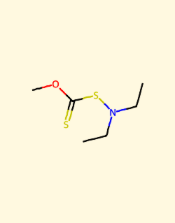 CCN(CC)SC(=S)OC